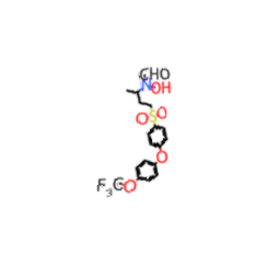 CC(CCS(=O)(=O)c1ccc(Oc2ccc(OC(F)(F)F)cc2)cc1)N(O)C=O